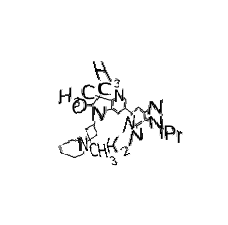 CC(C)n1cnc2cc(-c3cnc4c(c3)N(C3CC(C)(N5CCCCC5)C3)C(=O)C4(C)C)nc(N)c21